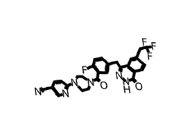 N#Cc1ccc(N2CCN(C(=O)c3cc(Cc4n[nH]c(=O)c5ccc(CC(F)(F)F)cc45)ccc3F)CC2)nc1